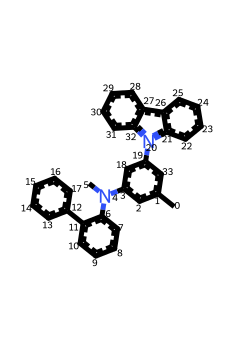 Cc1cc(N(C)c2ccccc2-c2ccccc2)cc(-n2c3ccccc3c3ccccc32)c1